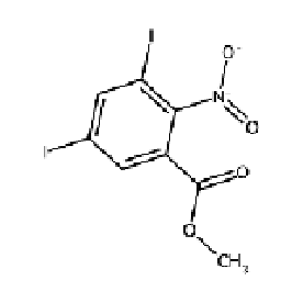 COC(=O)c1cc(I)cc(I)c1[N+](=O)[O-]